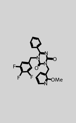 COc1ncccc1Cn1c(=O)nc(-c2ccccc2)n(Cc2cc(F)c(F)c(F)c2)c1=O